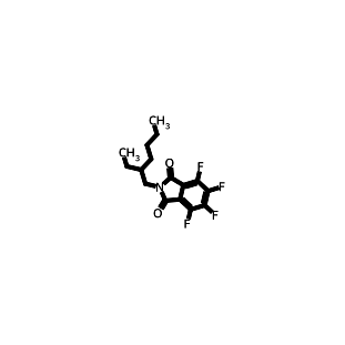 CCCCC(CC)CN1C(=O)c2c(F)c(F)c(F)c(F)c2C1=O